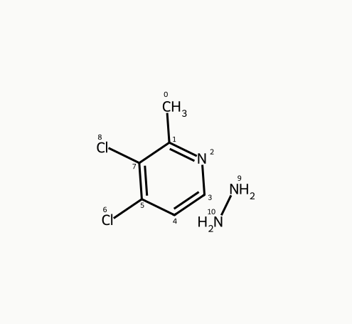 Cc1nccc(Cl)c1Cl.NN